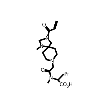 C=CC(=O)N1CN(C)C2(CCN(CC(=O)N(C)C(C(=O)O)C(C)C)CC2)C1